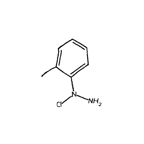 Cc1ccccc1N(N)Cl